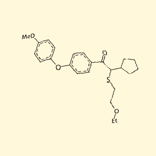 CCOCCSC(C(=O)c1ccc(Oc2ccc(OC)cc2)cc1)C1CCCC1